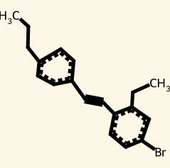 CCCc1ccc(C#Cc2ccc(Br)cc2CC)cc1